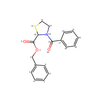 O=C(OCc1ccccc1)C1SCCN1C(=O)c1ccccc1